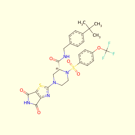 CC(C)(C)c1ccc(CNC(=O)[C@H]2CN(c3nc4c(s3)C(=O)NC4=O)CCN2S(=O)(=O)c2ccc(OC(F)(F)F)cc2)cc1